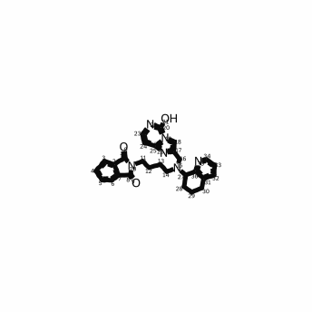 O=C1c2ccccc2C(=O)N1CCCCN(Cc1cn2c(O)nccc2n1)C1CCCc2cccnc21